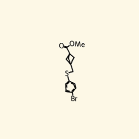 COC(=O)C12CC(CSc3ccc(Br)cc3)(C1)C2